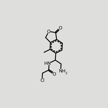 Cc1c(C(CN)NC(=O)CCl)ccc2c1COC2=O